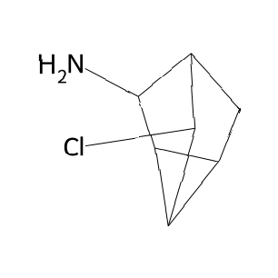 NC1C2CC3C1C3C2Cl